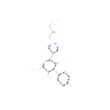 COCC(O)Cn1cc(-c2nc(N)c(C#N)c(-c3ccc(C(F)(F)F)cc3)c2C#N)cn1